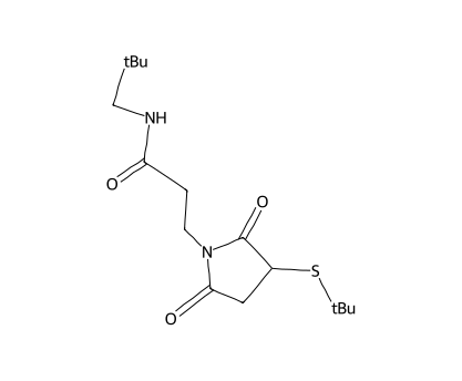 CC(C)(C)CNC(=O)CCN1C(=O)CC(SC(C)(C)C)C1=O